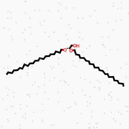 CCCCCCCCCCCCCCCCCCCCCCOC[C@H](CO)OCCCCCCCCCCCCCCCCCCCCCC